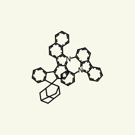 c1ccc(-n2c3ccccc3c3cccc(-n4c5ccc6c(c5c5ccc7ccccc7c54)-c4ccccc4C64C5CC6CC(C5)CC4C6)c32)cc1